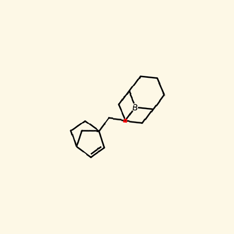 C1=CC2(CCB3C4CCCC3CCC4)CCC1C2